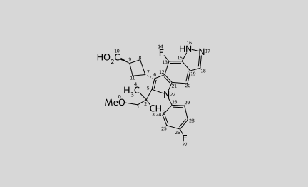 COCC(C)(C)c1c([C@H]2C[C@H](C(=O)O)C2)c2c(F)c3[nH]ncc3cc2n1-c1ccc(F)cc1